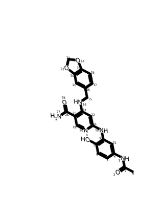 CC(=O)Nc1ccc(O)c(Nc2cc(NCc3ccc4c(c3)OCO4)c(C(N)=O)cn2)c1